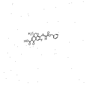 C[C@H]1COc2c(C3CC3NC(=O)OCc3ccccc3)c(F)cc3c(=O)c(C(=O)O)cn1c23